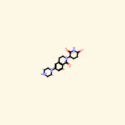 O=C1CCC(N2CCc3cc(N4CCNCC4)ccc3C2=O)C(=O)N1